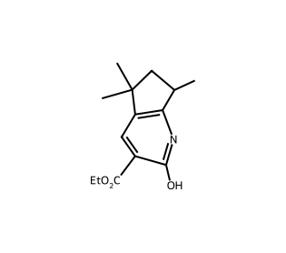 CCOC(=O)c1cc2c(nc1O)C(C)CC2(C)C